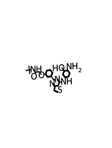 CC(C)(C)NC(=O)COc1cccc(-c2nc(Nc3ccc(N)c(O)c3)c3sccc3n2)c1